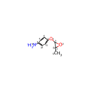 C[C@@H]1OC1Oc1ccc(N)cc1